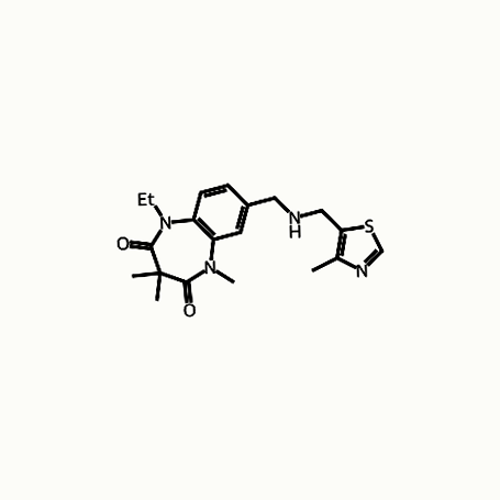 CCN1C(=O)C(C)(C)C(=O)N(C)c2cc(CNCc3scnc3C)ccc21